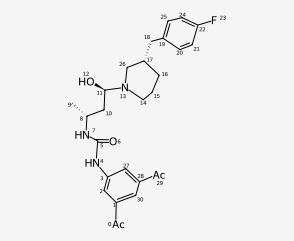 CC(=O)c1cc(NC(=O)N[C@H](C)C[C@@H](O)N2CCC[C@@H](Cc3ccc(F)cc3)C2)cc(C(C)=O)c1